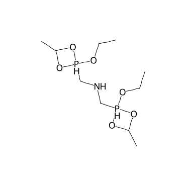 CCO[PH]1(CNC[PH]2(OCC)OC(C)O2)OC(C)O1